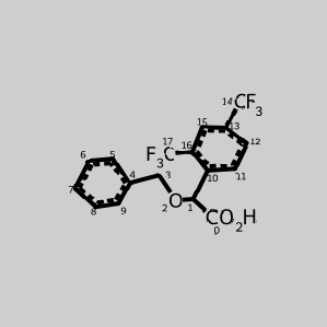 O=C(O)C(OCc1ccccc1)c1ccc(C(F)(F)F)cc1C(F)(F)F